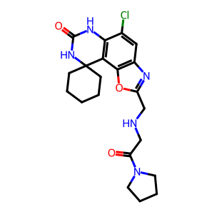 O=C1Nc2c(Cl)cc3nc(CNCC(=O)N4CCCC4)oc3c2C2(CCCCC2)N1